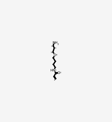 C=CC(=O)NCCCCOCCCN